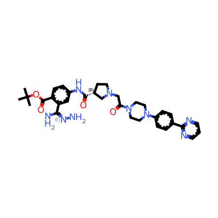 CC(C)(C)OC(=O)c1ccc(NC(=O)[C@@H]2CCN(CC(=O)N3CCN(c4ccc(-c5ncccn5)cc4)CC3)C2)cc1/C(N)=N\N